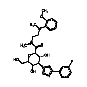 COc1ccccc1N(C)CCN(C)C(=O)[C@@H]1O[C@H](CO)[C@H](O)[C@H](n2cc(-c3cccc(F)c3)nn2)[C@H]1O